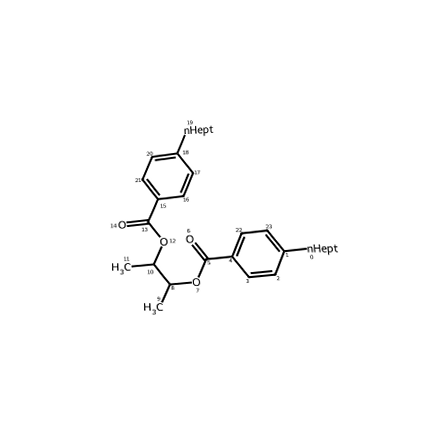 CCCCCCCc1ccc(C(=O)OC(C)C(C)OC(=O)c2ccc(CCCCCCC)cc2)cc1